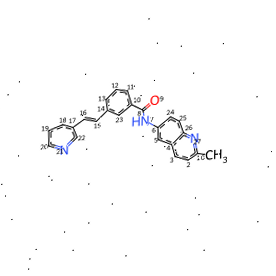 Cc1ccc2cc(NC(=O)c3cccc(C=Cc4cccnc4)c3)ccc2n1